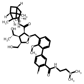 COc1c(CN2O[C@@H](CO)[C@@H]([C@H](C)O)[C@H]2C(=O)N[C@@H]2C[C@H]3C[C@@H]([C@@H]2C)C3(C)C)cccc1-c1ccc(F)c(C(=O)NCCN(C)C)c1